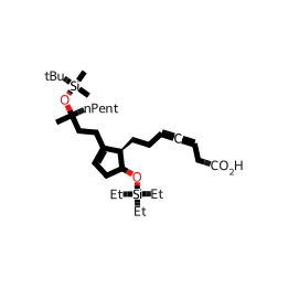 CCCCCC(C)(CCC1=CCC(O[Si](CC)(CC)CC)[C@@H]1CCC=C=CCC(=O)O)O[Si](C)(C)C(C)(C)C